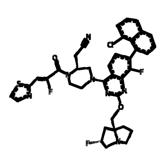 N#CC[C@H]1CN(c2nc(OC[C@@]34CCCN3C[C@H](F)C4)nc3c(F)c(-c4cccc5cccc(Cl)c45)ccc23)CCN1C(=O)/C(F)=C/c1nccs1